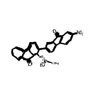 O=C1c2cc(-c3ccc4c(c3[N+](=O)[O-])C(=O)c3ccccc3-4)ccc2-c2ccc([N+](=O)[O-])cc21.OBO